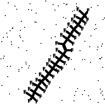 FC(=C(F)C(F)(F)C(F)(F)C(F)(F)C(F)(F)C(F)(F)C(F)(F)C(F)(F)C(F)(F)C(F)(F)C(F)(F)F)C(F)(F)C(F)(F)C(F)(F)C(F)(F)C(F)(F)C(F)(F)F